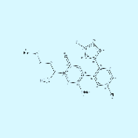 COc1cn(C(CCOC(C)(C)C)C(=O)O)c(=O)cc1-c1cc(Cl)ccc1-c1nc(C)no1